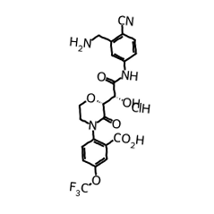 Cl.N#Cc1ccc(NC(=O)[C@H](O)[C@H]2OCCN(c3ccc(OC(F)(F)F)cc3C(=O)O)C2=O)cc1CN